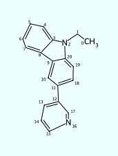 CCn1c2ccccc2c2cc(-c3cccnc3)ccc21